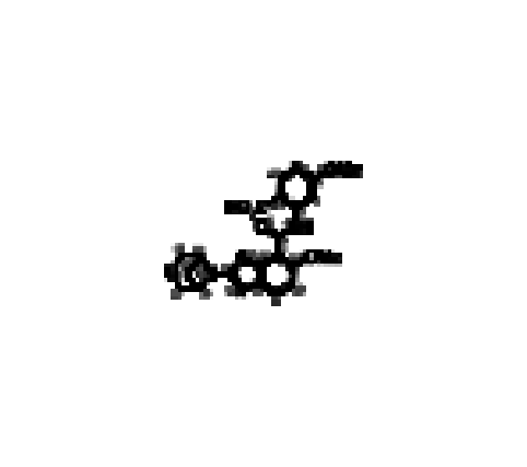 COc1cc(NC(=O)c2c(OC)ccc3nc(N4C5COCC4C5)sc23)c(C(=O)O)cn1